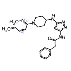 C=C/C=C\C(=N/C)N1CCC(Nc2nnc(NC(=O)Cc3ccccc3)s2)CC1